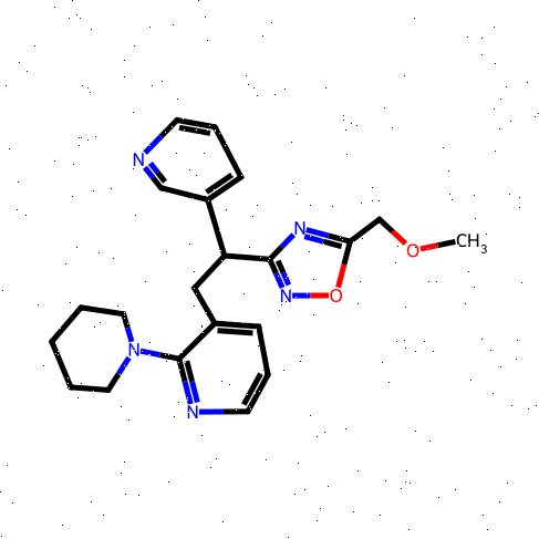 COCc1nc(C(Cc2cccnc2N2CCCCC2)c2cccnc2)no1